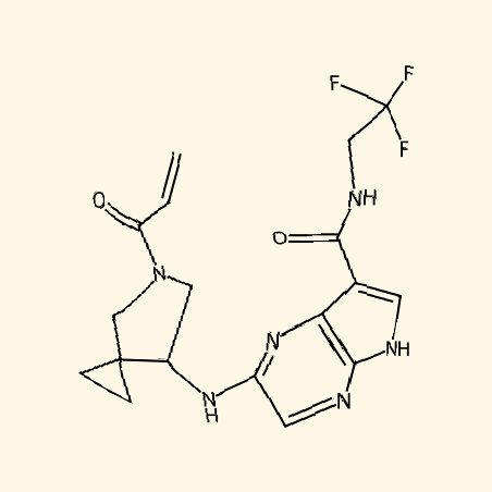 C=CC(=O)N1CC(Nc2cnc3[nH]cc(C(=O)NCC(F)(F)F)c3n2)C2(CC2)C1